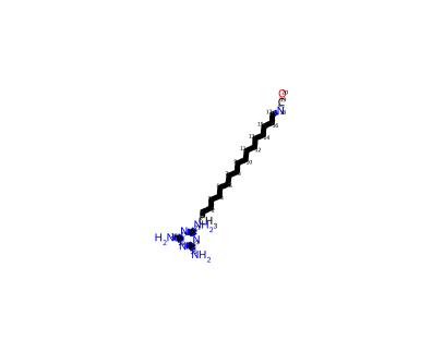 CCCCCCCCCCCCCCCCCCN=C=O.Nc1nc(N)nc(N)n1